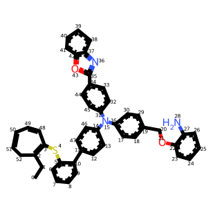 CCC1=C(Sc2ccccc2-c2ccc(N(c3ccc(COc4ccccc4N)cc3)c3ccc(-c4nc5ccccc5o4)cc3)cc2)C=CC=CC1